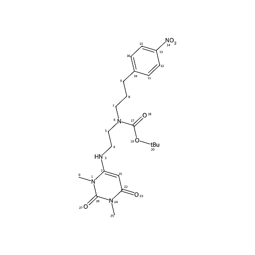 Cn1c(NCCN(CCCc2ccc([N+](=O)[O-])cc2)C(=O)OC(C)(C)C)cc(=O)n(C)c1=O